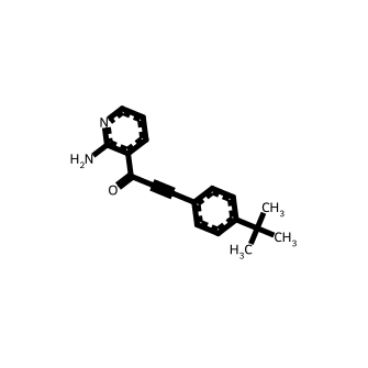 CC(C)(C)c1ccc(C#CC(=O)c2cccnc2N)cc1